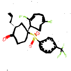 C=CC[C@@H]1C[C@](C2CC(F)=CC=C2F)(S(=O)(=O)c2ccc(C(F)(F)F)cc2)CCC1=O